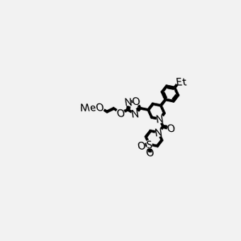 CCc1ccc(C2CC(c3nc(OCCOC)no3)CN(C(=O)N3CCS(=O)(=O)CC3)C2)cc1